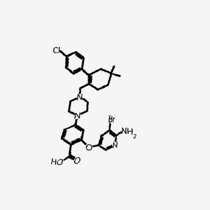 CC1(C)CCC(CN2CCN(c3ccc(C(=O)O)c(Oc4cnc(N)c(Br)c4)c3)CC2)=C(c2ccc(Cl)cc2)C1